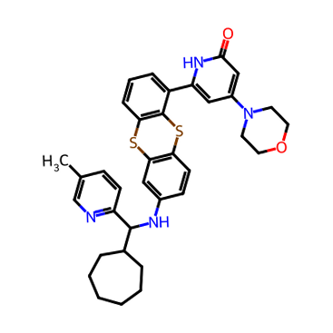 Cc1ccc(C(Nc2ccc3c(c2)Sc2cccc(-c4cc(N5CCOCC5)cc(=O)[nH]4)c2S3)C2CCCCCC2)nc1